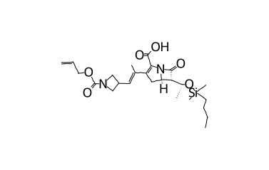 C=CCOC(=O)N1CC(C=C(C)C2=C(C(=O)O)N3C(=O)[C@H]([C@@H](C)O[Si](C)(C)CCCC)[C@H]3C2)C1